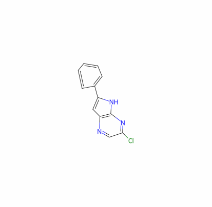 Clc1cnc2cc(-c3ccccc3)[nH]c2n1